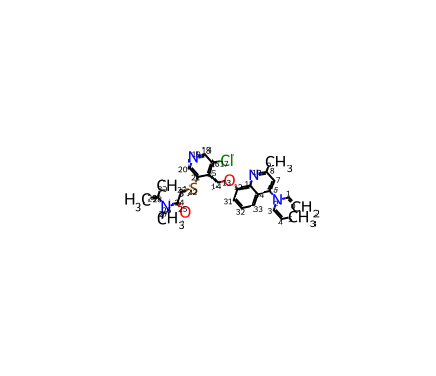 C=CN(/C=C\C)c1cc(C)nc2c(OCc3c(Cl)cncc3SCC(=O)N(C)C(C)C)cccc12